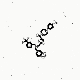 COc1ccc(N2CCN(C(=O)c3csc(CN(Cc4cccc(C(F)(F)F)c4)Cc4ccc5c(c4)OCO5)n3)CC2)cc1